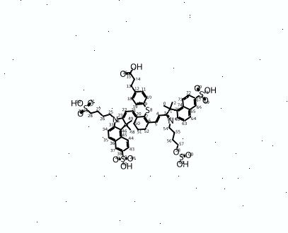 CC1(C)C(/C=C/C2=C(Sc3ccc(CCC(=O)O)cc3)C(=C/C=C3/N(CCCCS(=O)(=O)O)c4ccc5cc(S(=O)(=O)O)ccc5c4C3(C)C)/CCC2)=[N+](CCCCOS(=O)O)c2ccc3cc(S(=O)(=O)O)ccc3c21